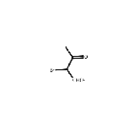 CC(=O)C(Br)[C]=O